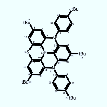 CC(C)(C)c1ccc(N2c3cc(C(C)(C)C)cc4c3P3c5c(cc(C(C)(C)C)cc5N(c5ccc(C(C)(C)C)cc5)c5cc(C(C)(C)C)cc2c53)S4)cc1